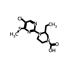 CCC1CN(C(=O)O)CCN1c1ncc(Cl)c(SC)n1